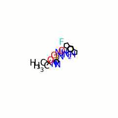 CCC1(C)Cn2ncc(S(N)(=O)=NC(=O)Nc3c4c(cc5c3CC(F)C5)CCC4)c2O1